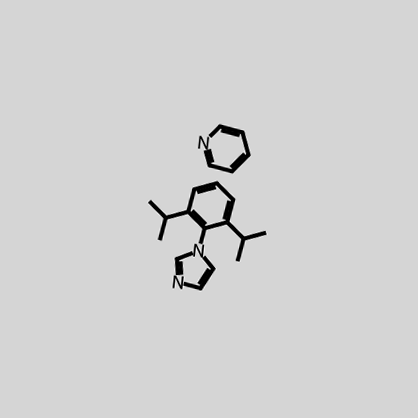 CC(C)c1cccc(C(C)C)c1-n1ccnc1.c1ccncc1